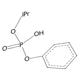 CC(C)OP(=O)(O)Oc1ccccc1